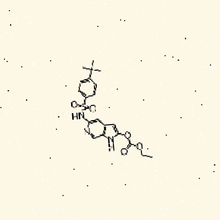 CCOC(=O)Oc1cc2cc(NS(=O)(=O)c3ccc(C(C)(C)C)cc3)ncc2[nH]1